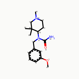 COc1cccc(CN(C(N)=O)C2CCN(C)CC2(C)C)c1